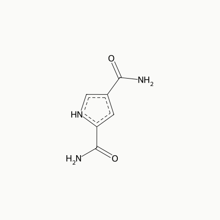 NC(=O)c1c[nH]c(C(N)=O)c1